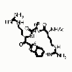 CCC[C@H](NC(=O)[C@@H](CCCNC(=N)N)NC(C)=O)C(=O)N[C@@H](CCCNC(=N)N)C(=O)c1nc2ccccc2s1